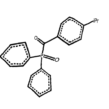 CC(C)c1ccc(C(=O)P(=O)(c2ccccc2)c2ccccc2)cc1